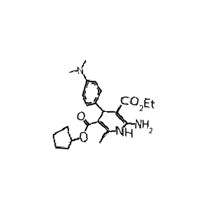 CCOC(=O)C1=C(N)NC(C)=C(C(=O)OC2CCCC2)C1c1ccc(N(C)C)cc1